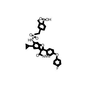 CNC(=O)c1c(-c2ccc(Oc3ccc(F)cc3)cc2)oc2cc(NS(=O)(=O)CCc3ccc4c(c3)COB4O)c(C3CC3)cc12